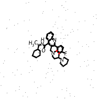 C[C@H](NC(=O)c1c(CN2CCC(N3CCCCC3)CC2)c(-c2ccc(F)cc2)nc2ccccc12)C1CCCCC1